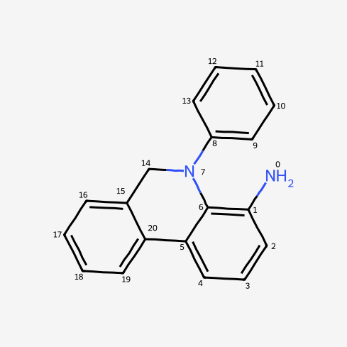 Nc1cccc2c1N(c1ccccc1)Cc1ccccc1-2